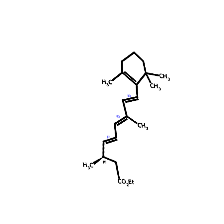 CCOC(=O)C[C@@H](C)/C=C/C=C(C)/C=C/C1=C(C)CCCC1(C)C